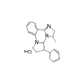 CC1CN=C2c3ccccc3N3CCC(c4ccccc4)C3N21.Cl